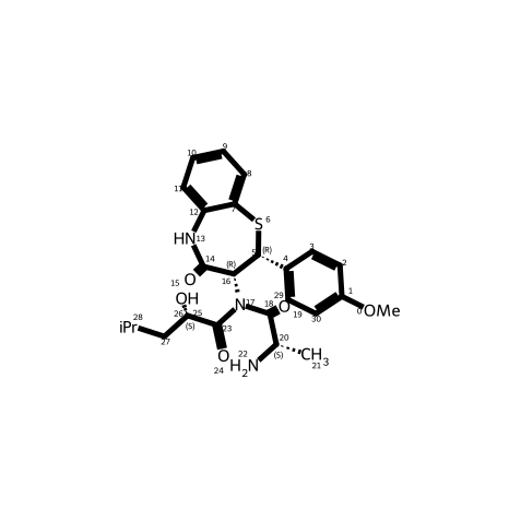 COc1ccc([C@H]2Sc3ccccc3NC(=O)[C@H]2N(C(=O)[C@H](C)N)C(=O)[C@@H](O)CC(C)C)cc1